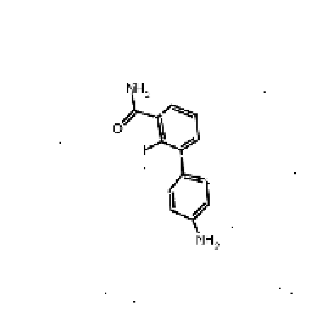 NC(=O)c1cccc(-c2ccc(N)cc2)c1I